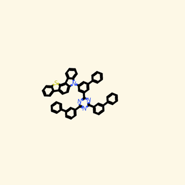 c1ccc(-c2cccc(-c3nc(-c4cccc(-c5ccccc5)c4)nc(-c4cc(-c5ccccc5)cc(-n5c6ccccc6c6c7sc8ccccc8c7ccc65)c4)n3)c2)cc1